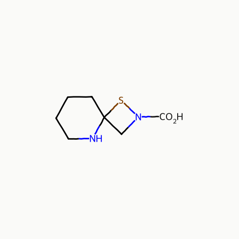 O=C(O)N1CC2(CCCCN2)S1